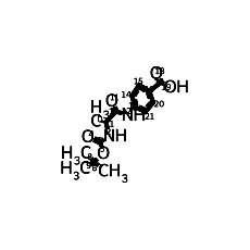 C[C@H](NC(=O)OC(C)(C)C)C(=O)Nc1ccc(C(=O)O)cc1